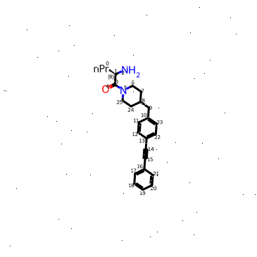 CCC[C@@H](N)C(=O)N1CCC(Cc2ccc(C#Cc3ccccc3)cc2)CC1